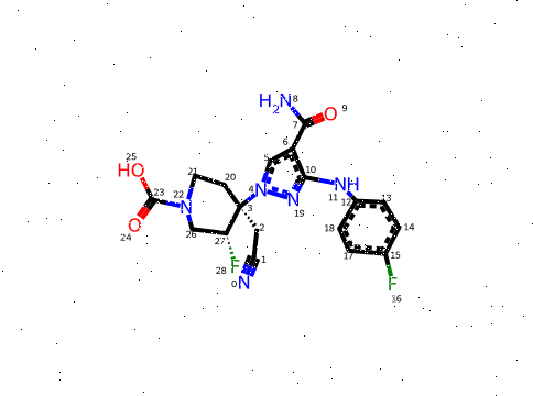 N#CC[C@@]1(n2cc(C(N)=O)c(Nc3ccc(F)cc3)n2)CCN(C(=O)O)C[C@H]1F